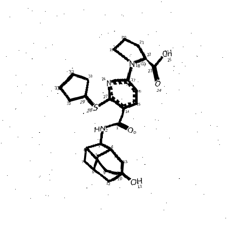 O=C(NC1C2CC3CC1CC(O)(C3)C2)c1ccc(N2CCC[C@H]2C(=O)O)nc1SC1CCCC1